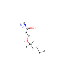 CCCCC(C)(C)OCCC(N)=O